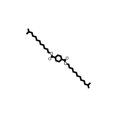 CC(C)CCCCCCCCCCOC(=O)C1CCC(C(=O)OCCCCCCCCCCC(C)C)CC1